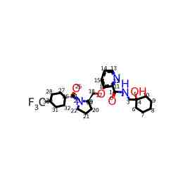 O=C(NCC1(O)CCCCC1)c1ncccc1OC[C@H]1CCCN1C(=O)[C@H]1CC[C@H](C(F)(F)F)CC1